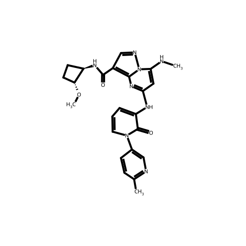 CNc1cc(Nc2cccn(-c3ccc(C)nc3)c2=O)nc2c(C(=O)N[C@@H]3CC[C@H]3OC)cnn12